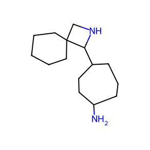 NC1CCCC(C2NCC23CCCCC3)CC1